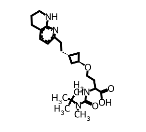 CN(C(=O)NC(CCO[C@H]1C[C@H](CCc2ccc3c(n2)NCCC3)C1)C(=O)O)C(C)(C)C